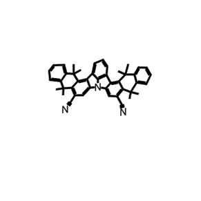 CC1(C)c2ccccc2C(C)(C)c2c1c(C#N)cc1c2c2cccc3c4c5c(c(C#N)cc4n1c23)C(C)(C)c1ccccc1C5(C)C